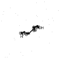 COc1cc2c(N[C@H](C)c3cccc(C(F)(F)CO)c3)nc(C)nc2c(CCCCCCCCN2CCN(C(=O)COc3cccc(C4CCC(=O)NC4=O)c3)CC2)c1OC